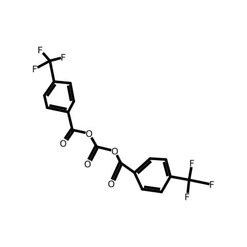 O=C(OC(=O)c1ccc(C(F)(F)F)cc1)OC(=O)c1ccc(C(F)(F)F)cc1